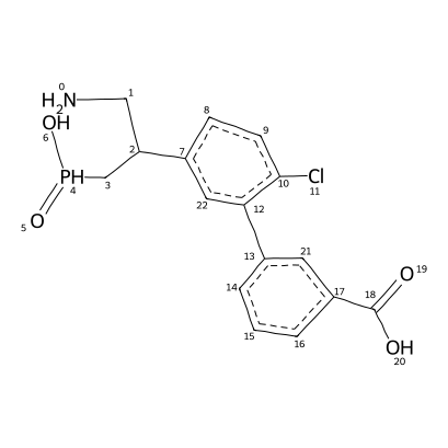 NCC(C[PH](=O)O)c1ccc(Cl)c(-c2cccc(C(=O)O)c2)c1